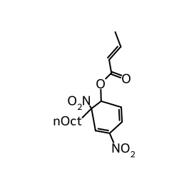 CC=CC(=O)OC1C=CC([N+](=O)[O-])=CC1(CCCCCCCC)[N+](=O)[O-]